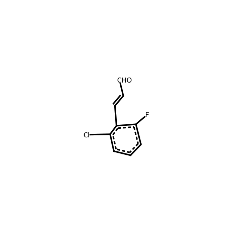 O=C/C=C/c1c(F)cccc1Cl